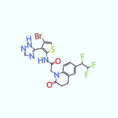 O=C(CN1C(=O)CCc2cc(C(F)C(F)F)ccc21)Nc1scc(Br)c1-c1ncn[nH]1